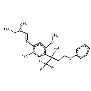 CCN(C)C=Nc1cc(OC)c(C(O)(CCOc2ccccc2)C(F)(F)F)cc1C